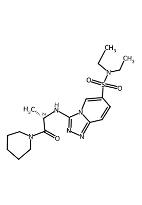 CCN(CC)S(=O)(=O)c1ccc2nnc(N[C@@H](C)C(=O)N3CCCCC3)n2c1